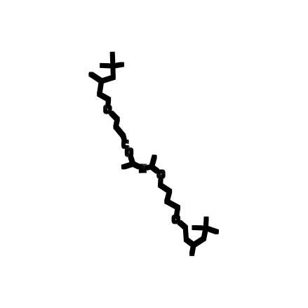 CC(CCOCCCCOC(C)[N]C(C)OCCCCOCCC(C)CC(C)(C)C)CC(C)(C)C